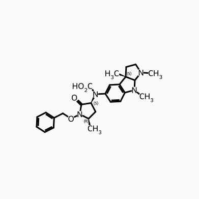 C[C@@H]1C[C@H](N(C(=O)O)c2ccc3c(c2)[C@]2(C)CCN(C)C2N3C)C(=O)N1OCc1ccccc1